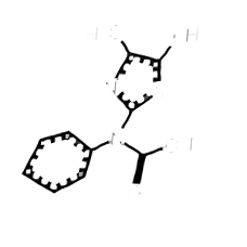 Cc1nc(N(C(=O)O)c2ccccc2)sc1C